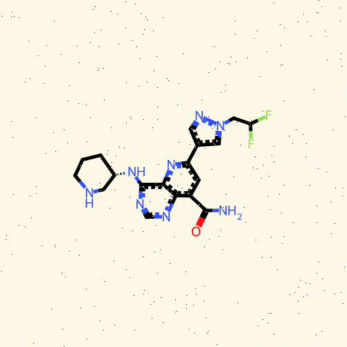 NC(=O)c1cc(-c2cnn(CC(F)F)c2)nc2c(N[C@H]3CCCNC3)ncnc12